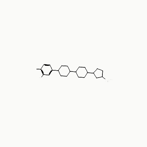 CCCC1CCC(C2CCC(C3CCC(c4ccc(F)c(F)c4)CC3)CC2)C1